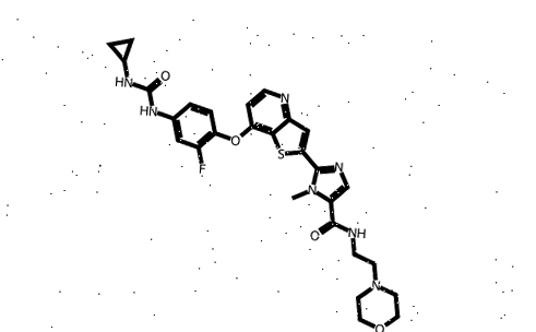 Cn1c(C(=O)NCCN2CCOCC2)cnc1-c1cc2nccc(Oc3ccc(NC(=O)NC4CC4)cc3F)c2s1